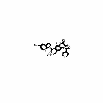 COCc1cc2c(cc1C(=O)N1CCc3cc(Br)cnc31)[nH]c(=O)c1nnc(C3CCOCC3)n12